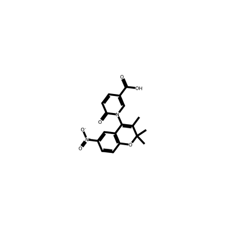 CC1=C(n2cc(C(=O)O)ccc2=O)c2cc([N+](=O)[O-])ccc2OC1(C)C